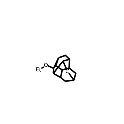 CCOC1C2CC3C4CC5CC3C1C(C5)C4C2